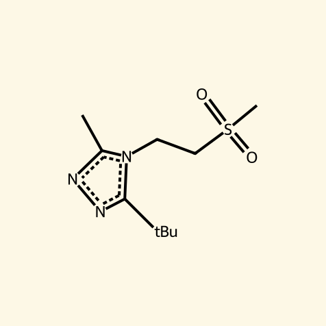 Cc1nnc(C(C)(C)C)n1CCS(C)(=O)=O